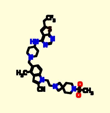 Cc1c(CN2CCC(Nc3ncnc4sc(CC(F)(F)F)cc34)CC2)ccc2c1cc(C#N)n2CCN1CC2(CCN(S(C)(=O)=O)CC2)C1